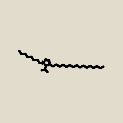 CCCCCCCCCCCCCCCCN1C=CN(CCCCCCCC)C1C(C)C